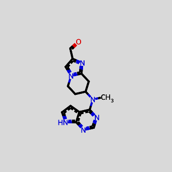 CN(c1ncnc2[nH]ccc12)C1CCn2cc(C=O)nc2C1